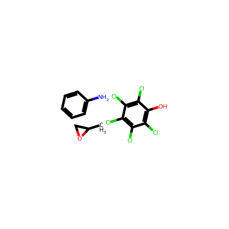 CC1CO1.Nc1ccccc1.Oc1c(Cl)c(Cl)c(Cl)c(Cl)c1Cl